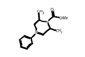 COC(=O)N1C(C)CN(c2ccccc2)CC1C